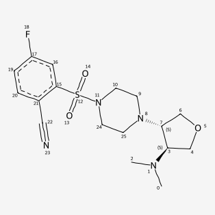 CN(C)[C@@H]1COC[C@H]1N1CCN(S(=O)(=O)c2cc(F)ccc2C#N)CC1